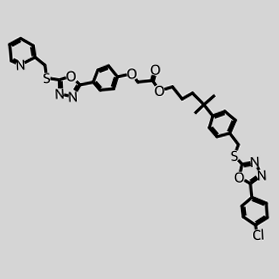 CC(C)(CCCOC(=O)COc1ccc(-c2nnc(SCc3ccccn3)o2)cc1)c1ccc(CSc2nnc(-c3ccc(Cl)cc3)o2)cc1